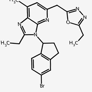 CCc1nnc(Cc2cc(C)c3nc(CC)n(C4CCc5cc(Br)ccc54)c3n2)o1